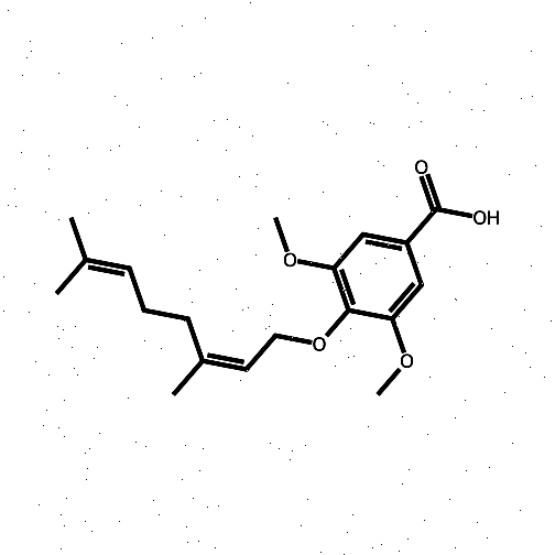 COc1cc(C(=O)O)cc(OC)c1OC/C=C(/C)CCC=C(C)C